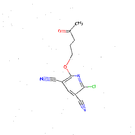 CC(=O)CCCOc1nc(Cl)c(C#N)cc1C#N